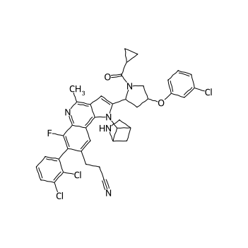 Cc1nc2c(F)c(-c3cccc(Cl)c3Cl)c(CCC#N)cc2c2c1cc(C1CC(Oc3cccc(Cl)c3)CN1C(=O)C1CC1)n2C1C2CNC1C2